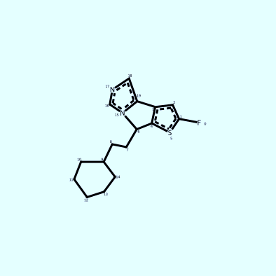 Fc1cc2c(s1)C(CCC1CCCCC1)n1cncc1-2